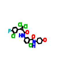 O=C1CCC(NC(=O)c2cc(NC(=O)C3C(c4ccc(F)c(Cl)c4)C3(Cl)Cl)ccc2Cl)CC1